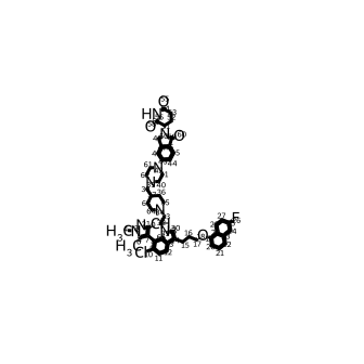 Cc1nn(C)c(C)c1-c1c(Cl)ccc2c(CCCOc3cccc4cc(F)ccc34)cn(CCN3CCC(CN4CCN(c5ccc6c(c5)CN([C@H]5CCC(=O)NC5=O)C6=O)CC4)CC3)c12